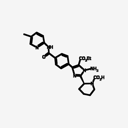 CCOC(=O)c1c(-c2ccc(C(=O)Nc3ccc(C)cn3)cc2)nc([C@@H]2CCCCN2C(=O)O)n1N